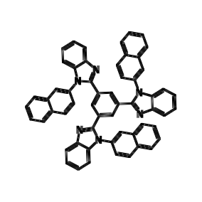 c1ccc2cc(-n3c(-c4cc(-c5nc6ccccc6n5-c5ccc6ccccc6c5)cc(-c5nc6ccccc6n5-c5ccc6ccccc6c5)c4)nc4ccccc43)ccc2c1